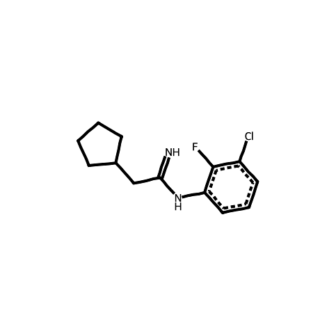 N=C(CC1CCCC1)Nc1cccc(Cl)c1F